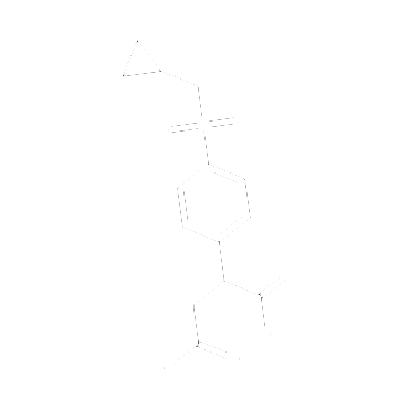 CC(=O)CC(C(=O)O)c1ccc(S(=O)(=O)CC2CC2)cc1